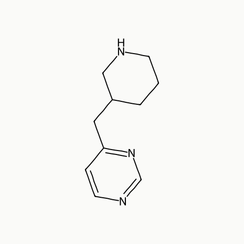 c1cc(CC2CCCNC2)ncn1